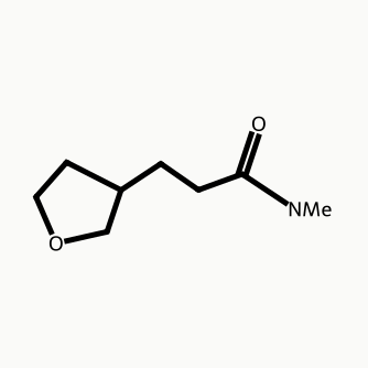 CNC(=O)CCC1CCOC1